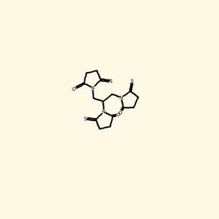 O=C1CCC(=S)N1CC(CN1C(=O)CCC1=S)N1C(=O)CCC1=S